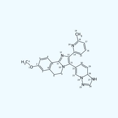 COc1ccc2c(c1)CCn1c-2nc(-c2cccc(C)n2)c1C1=CN2N=CNC2C=C1